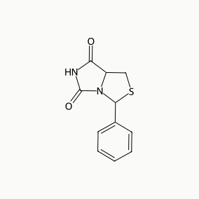 O=C1NC(=O)N2C1CSC2c1ccccc1